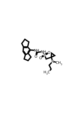 CCCN(C)C1(CS(=O)(=O)NC(=O)Nc2c3c(cc4c2CCC4)CCC3)CC1